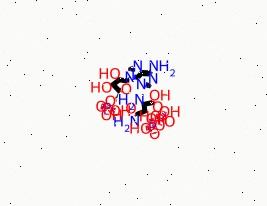 NC(=O)C[C@H](N)C(=O)O.Nc1ncnc2c1ncn2[C@@H]1O[C@H](COP(=O)(O)O)[C@@H](O)[C@H]1O.O=P(O)(O)OP(=O)(O)O